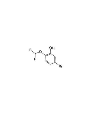 Oc1cc(Br)ccc1OC(F)F